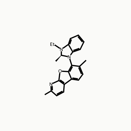 CCN1c2ccccc2N(c2c(C)ccc3c2oc2nc(C)ccc23)[C@H]1C